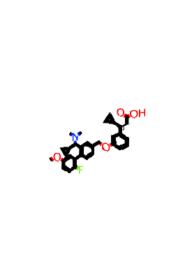 COc1ccc(F)c(-c2ccc(COc3cccc([C@H](CC(=O)O)C4CC4)c3)cc2C(C2CC2)N(C)C)c1